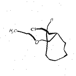 CCOC12CCCCC1C2(Cl)Cl